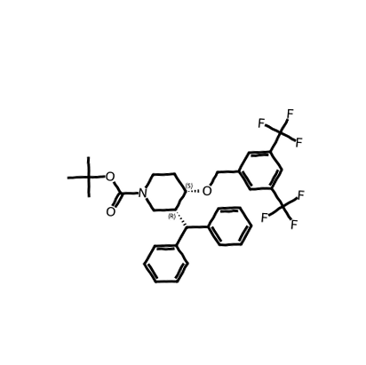 CC(C)(C)OC(=O)N1CC[C@H](OCc2cc(C(F)(F)F)cc(C(F)(F)F)c2)[C@H](C(c2ccccc2)c2ccccc2)C1